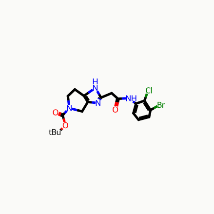 CC(C)(C)OC(=O)N1CCc2[nH]c(CC(=O)Nc3cccc(Br)c3Cl)nc2C1